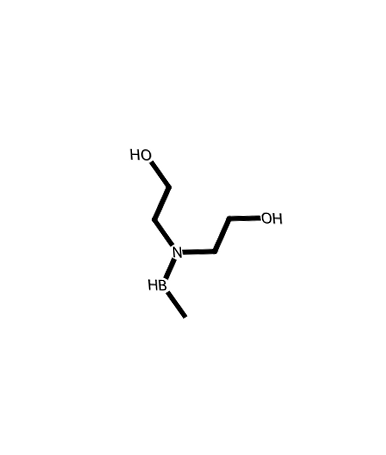 CBN(CCO)CCO